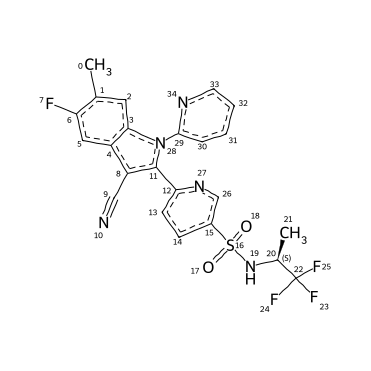 Cc1cc2c(cc1F)c(C#N)c(-c1ccc(S(=O)(=O)N[C@@H](C)C(F)(F)F)cn1)n2-c1ccccn1